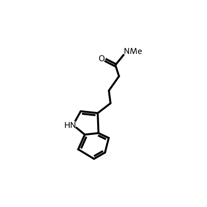 CNC(=O)CCCc1c[nH]c2ccccc12